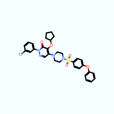 O=c1c(OC2CCCC2)c(N2CCN(S(=O)(=O)c3ccc(Oc4ccccc4)cc3)CC2)cnn1-c1cccc(Cl)c1